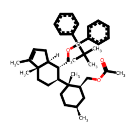 CC(=O)OC[C@H]1C[C@@H](C)CC[C@]1(C)[C@H]1CC[C@]2(C)C(C)=CC[C@H]2[C@@H]1CO[Si](c1ccccc1)(c1ccccc1)C(C)(C)C